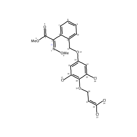 CO/N=C(/C(=O)OC)c1ccccc1COc1cc(Cl)c(OCC=C(Cl)Cl)c(Cl)c1